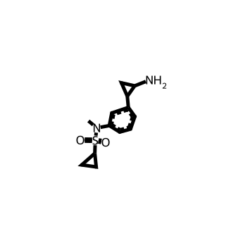 CN(c1cccc(C2CC2N)c1)S(=O)(=O)C1CC1